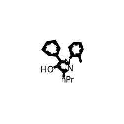 CCCc1nn(-c2ccccc2C)c(-c2ccccc2)c1O